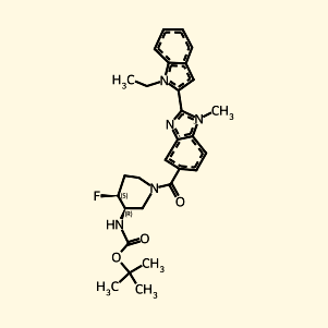 CCn1c(-c2nc3cc(C(=O)N4CC[C@H](F)[C@H](NC(=O)OC(C)(C)C)C4)ccc3n2C)cc2ccccc21